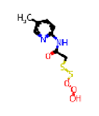 Cc1ccc(NC(=O)CSSOOO)nc1